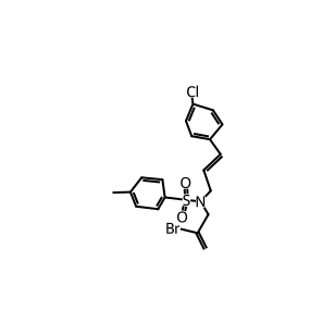 C=C(Br)CN(CC=Cc1ccc(Cl)cc1)S(=O)(=O)c1ccc(C)cc1